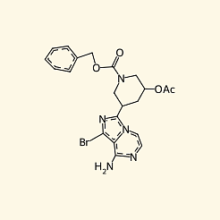 CC(=O)OC1CC(c2nc(Br)c3c(N)nccn23)CN(C(=O)OCc2ccccc2)C1